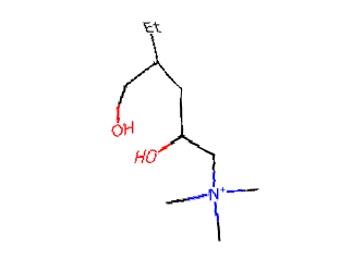 CC[C](CO)CC(O)C[N+](C)(C)C